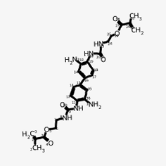 C=C(C)C(=O)OCCNC(=O)Nc1ccc(-c2ccc(NC(=O)NCCOC(=O)C(=C)C)c(N)c2)cc1N